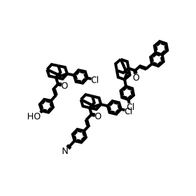 N#Cc1ccc(C=CC(=O)C23CC4CC(C2)CC(c2ccc(Cl)cc2)(C4)C3)cc1.O=C(C=Cc1ccc(O)cc1)C12CC3CC(C1)CC(c1ccc(Cl)cc1)(C3)C2.O=C(C=Cc1ccc2ccccc2c1)C12CC3CC(C1)CC(c1ccc(Cl)cc1)(C3)C2